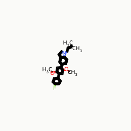 COc1cc(-c2ccc3c(ccn3CC=C(C)C)c2)c(OC)cc1-c1ccc(F)cc1